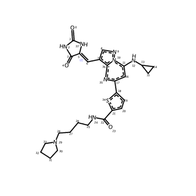 O=C1NC(=O)/C(=C/c2cnn3c(NC4CC4)cc(-c4ccc(C(=O)NCCCCN5CCCC5)s4)nc23)N1